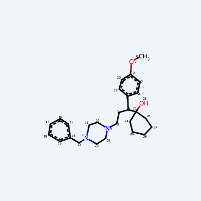 COc1ccc(C(CCN2CCN(Cc3ccccc3)CC2)C2(O)CCCCC2)cc1